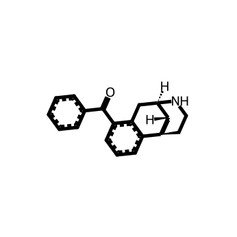 O=C(c1ccccc1)c1cccc2c1C[C@H]1NCC[C@@]23CCCC[C@@H]13